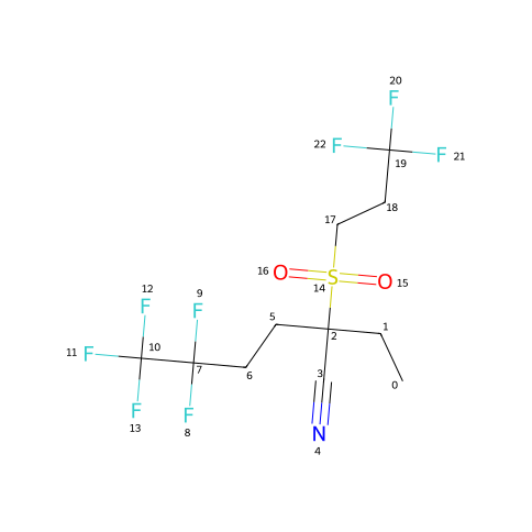 CCC(C#N)(CCC(F)(F)C(F)(F)F)S(=O)(=O)CCC(F)(F)F